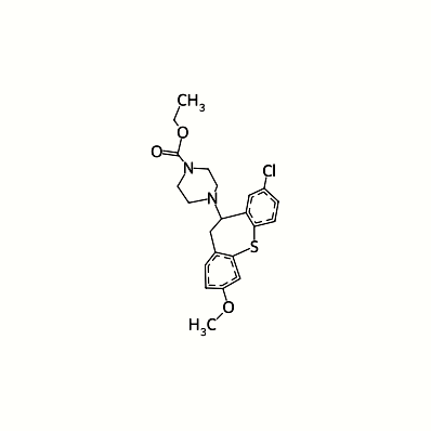 CCOC(=O)N1CCN(C2Cc3ccc(OC)cc3Sc3ccc(Cl)cc32)CC1